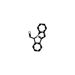 O=CC1c2ccccc2-c2cc3ccccc3n21